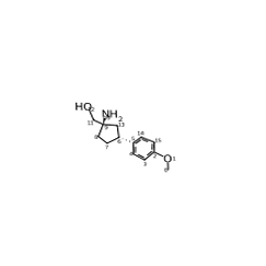 COc1ccc([C@@H]2CC[C@](N)(CO)C2)cc1